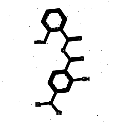 CCCCCCc1ccccc1C(=O)OC(=O)c1ccc(N(CC)CC)cc1O